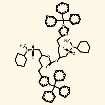 CN(C1CCCCC1)S(=O)(=O)CC(CCCc1cn(C(c2ccccc2)(c2ccccc2)c2ccccc2)cn1)OC(=O)OC(CCCc1cn(C(c2ccccc2)(c2ccccc2)c2ccccc2)cn1)CS(=O)(=O)N(C)C1CCCCC1